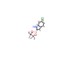 CC1(C)OB(c2cc3ccc(Cl)cc3[nH]2)OC1(C)C